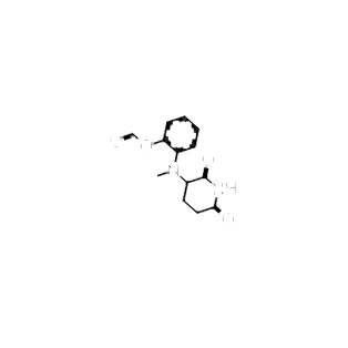 CN(c1ccccc1OC=O)C1CCC(=O)NC1=O